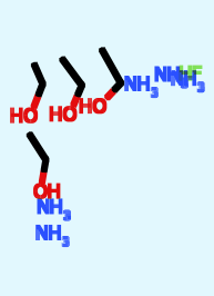 CCO.CCO.CCO.CCO.F.N.N.N.N.N